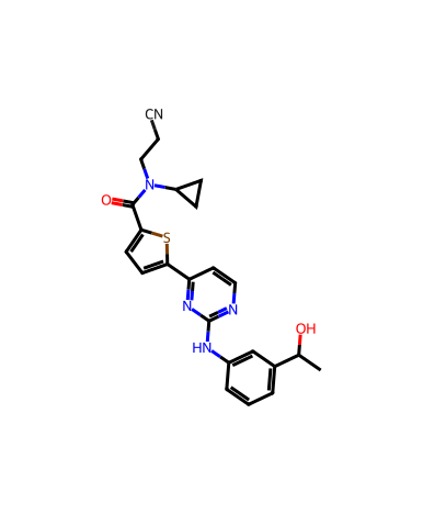 CC(O)c1cccc(Nc2nccc(-c3ccc(C(=O)N(CCC#N)C4CC4)s3)n2)c1